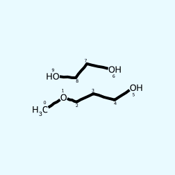 COCCCO.OCCO